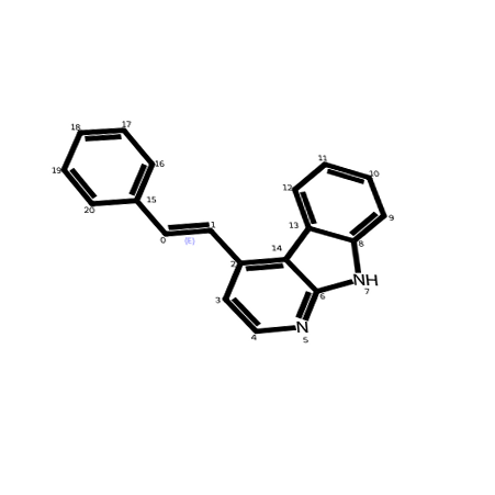 C(=C\c1ccnc2[nH]c3ccccc3c12)/c1ccccc1